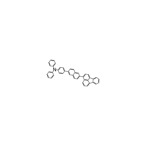 c1ccc(N(c2ccccc2)c2ccc(-c3ccc4cc(-c5ccc6c7c(cccc57)-c5ccccc5-6)ccc4c3)cc2)cc1